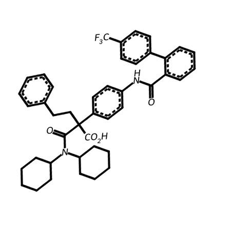 O=C(Nc1ccc(C(CCc2ccccc2)(C(=O)O)C(=O)N(C2CCCCC2)C2CCCCC2)cc1)c1ccccc1-c1ccc(C(F)(F)F)cc1